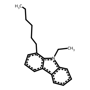 CCCCCCc1cccc2c3ccccc3n(CC)c12